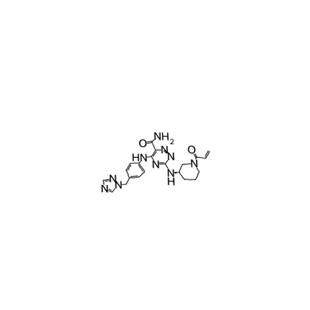 C=CC(=O)N1CCC[C@@H](Nc2nnc(C(N)=O)c(Nc3ccc(Cn4cncn4)cc3)n2)C1